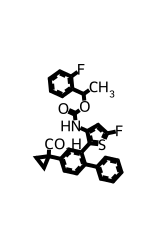 CC(OC(=O)Nc1cc(F)sc1-c1cc(C2(C(=O)O)CC2)ccc1-c1ccccc1)c1ccccc1F